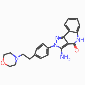 Nc1c2c(=O)[nH]c3ccccc3c2nn1-c1ccc(CCN2CCOCC2)cc1